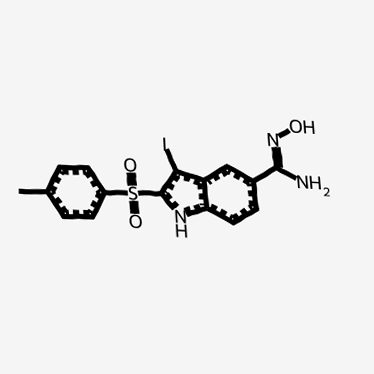 Cc1ccc(S(=O)(=O)c2[nH]c3ccc(C(N)=NO)cc3c2I)cc1